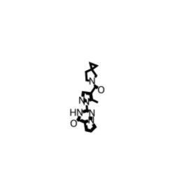 Cc1c(C(=O)N2CCC3(CC3)C2)cnn1-c1nn2cccc2c(=O)[nH]1